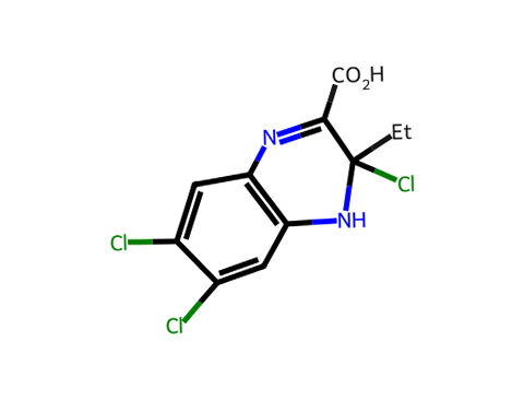 CCC1(Cl)Nc2cc(Cl)c(Cl)cc2N=C1C(=O)O